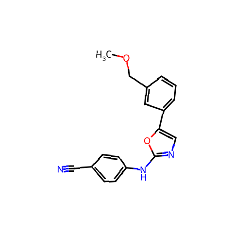 COCc1cccc(-c2cnc(Nc3ccc(C#N)cc3)o2)c1